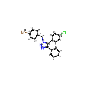 Clc1ccc(-c2c(-c3ccccc3)nnn2Cc2ccc(Br)cc2)cc1